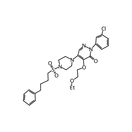 CCOCCOc1c(N2CCN(S(=O)(=O)CCCCc3ccccc3)CC2)cnn(-c2cccc(Cl)c2)c1=O